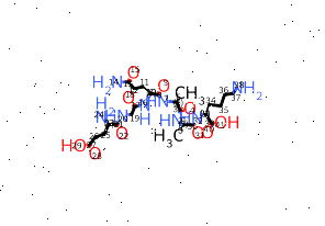 C[C@H](NC(=O)[C@H](C)NC(=O)[C@H](CCC(N)=O)NC(=O)CNC(=O)[C@@H](N)CCC(=O)O)C(=O)N[C@@H](CCCCN)C(=O)O